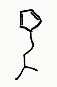 CC(C)CC[C]1C=CC=C1